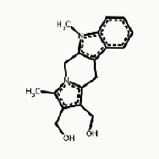 Cc1c(CO)c(CO)c2n1Cc1c(c3ccccc3n1C)C2